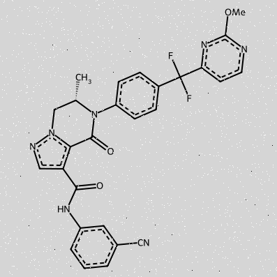 COc1nccc(C(F)(F)c2ccc(N3C(=O)c4c(C(=O)Nc5cccc(C#N)c5)cnn4C[C@@H]3C)cc2)n1